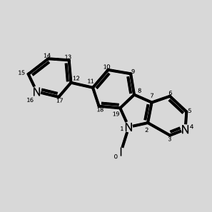 In1c2cnccc2c2ccc(-c3cccnc3)cc21